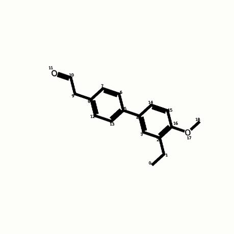 CCc1cc(-c2ccc(CC=O)cc2)ccc1OC